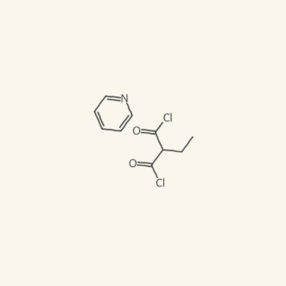 CCC(C(=O)Cl)C(=O)Cl.c1ccncc1